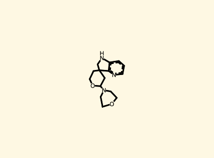 c1cnc2c(c1)NCC21CCOC(N2CCOCC2)C1